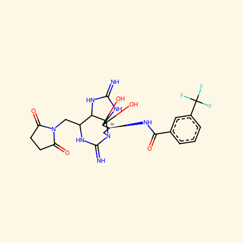 N=C1NC2C(CN3C(=O)CCC3=O)NC(=N)N3C[C@H](NC(=O)c4cccc(C(F)(F)F)c4)C(O)(O)C23N1